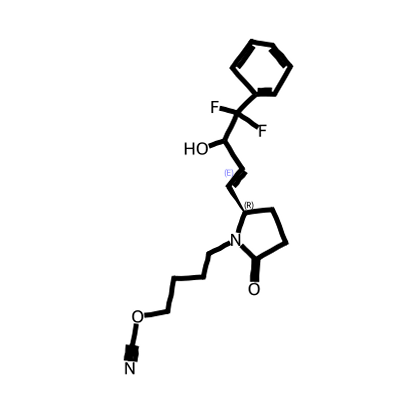 N#COCCCCN1C(=O)CC[C@@H]1/C=C/C(O)C(F)(F)c1ccccc1